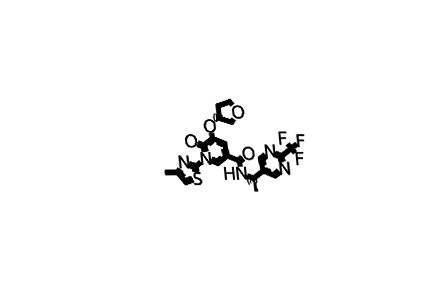 Cc1csc(-n2cc(C(=O)N[C@H](C)c3cnc(C(F)(F)F)nc3)cc(O[C@@H]3CCOC3)c2=O)n1